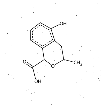 CC1Cc2c(O)cccc2C(C(=O)O)O1